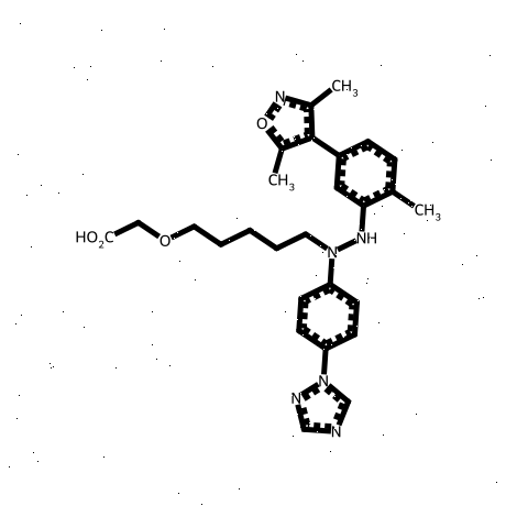 Cc1ccc(-c2c(C)noc2C)cc1NN(CCCCCOCC(=O)O)c1ccc(-n2cncn2)cc1